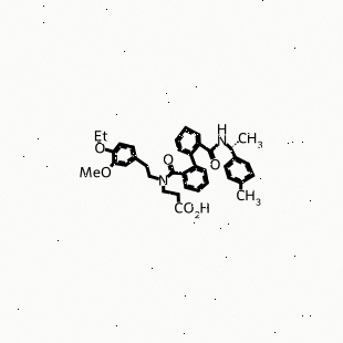 CCOc1ccc(CCN(CCC(=O)O)C(=O)c2ccccc2-c2ccccc2C(=O)N[C@H](C)c2ccc(C)cc2)cc1OC